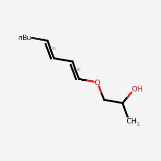 CCCC/C=C/C=C/OCC(C)O